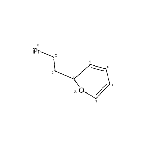 CC(C)CCC1C=CC=CO1